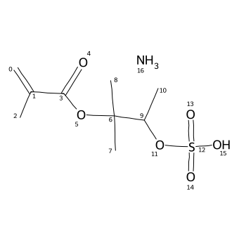 C=C(C)C(=O)OC(C)(C)C(C)OS(=O)(=O)O.N